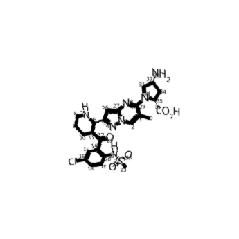 Cc1cn2nc([C@@H]3NCCCC3C(=O)c3cc(Cl)ccc3NS(C)(=O)=O)cc2nc1N1C[C@H](N)C[C@@H]1C(=O)O